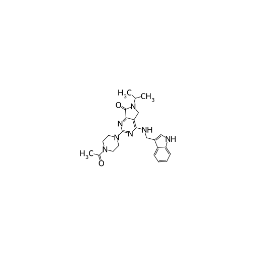 CC(=O)N1CCN(c2nc(NCc3c[nH]c4ccccc34)c3c(n2)C(=O)N(C(C)C)C3)CC1